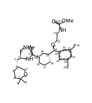 CNC[C@H](C[C@H]1CCC(C)(C)OC1)NC(=O)N1CCC[C@@H]([C@@H](OCCNC(=O)OC)c2cc(F)cc(F)c2)C1